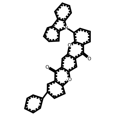 O=c1c2cc(-c3ccccc3)ccc2oc2cc3c(=O)c4cccc(-n5c6ccccc6c6ccccc65)c4oc3cc12